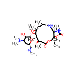 CC[C@@H]1OC(=O)[C@H](C)C(=O)[C@H](C)[C@@H](O[C@@H]2O[C@H](CNC)CC(N(C)C)C2O)[C@](C)(OC)C[C@@H](C)CN[C@H](C)[C@H]2NC(=O)O[C@]12C